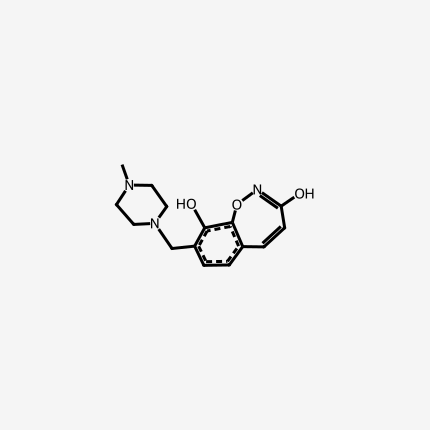 CN1CCN(Cc2ccc3c(c2O)ON=C(O)C=C3)CC1